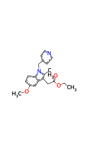 CCOC(=O)Cc1c(C)n(Cc2ccncc2)c2ccc(OC)cc12